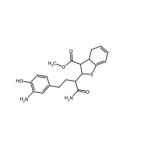 COC(=O)C1C2CC=CC=C2SC1C(CCc1ccc(O)c(N)c1)C(N)=O